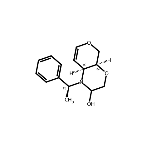 C[C@@H](c1ccccc1)N1C(O)CO[C@@H]2COC=C[C@@H]21